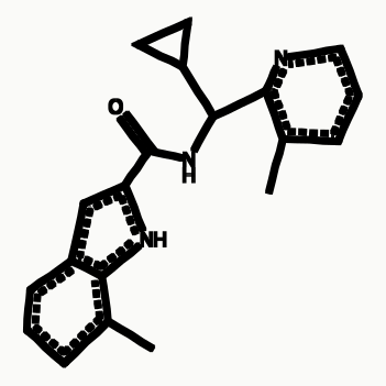 Cc1cccnc1C(NC(=O)c1cc2cccc(C)c2[nH]1)C1CC1